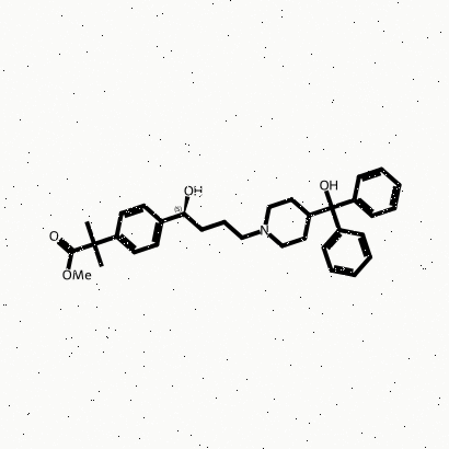 COC(=O)C(C)(C)c1ccc([C@@H](O)CCCN2CCC(C(O)(c3ccccc3)c3ccccc3)CC2)cc1